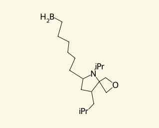 BCCCCCCC1CC(CC(C)C)C2(COC2)N1C(C)C